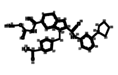 CCCCCCOC(=O)NC(=N)c1ccc2cc(C(=O)Nc3cccc(N4CCCC4)c3)n(Cc3ccc(C(N)=O)cc3)c2c1